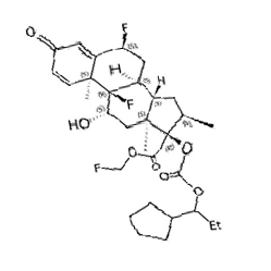 CCC(OC(=O)O[C@]1(C(=O)OCF)[C@H](C)C[C@H]2[C@@H]3C[C@H](F)C4=CC(=O)C=C[C@]4(C)[C@@]3(F)[C@@H](O)C[C@@]21C)C1CCCC1